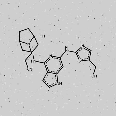 N#CCCN1C2CC[C@H]1C[C@H](Nc1nc(Nc3ncc(CO)s3)cc3[nH]ccc13)C2